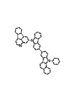 c1ccc(-n2c3ccc(-c4ccc5c(c4)c4ccccc4n5-c4cc5c6c(ccnc6c4)-c4ccccc4-5)cc3c3ccc4ccccc4c32)cc1